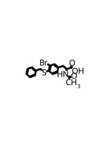 CC(=O)NC(Cc1ccc(SCc2ccccc2)c(Br)c1)C(=O)O